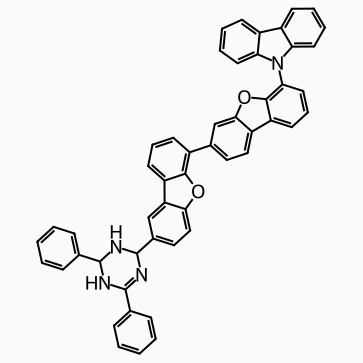 c1ccc(C2=NC(c3ccc4oc5c(-c6ccc7c(c6)oc6c(-n8c9ccccc9c9ccccc98)cccc67)cccc5c4c3)NC(c3ccccc3)N2)cc1